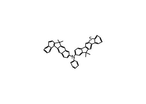 CC1(C)c2cc(N(c3ccccc3)c3ccc4cc5c(cc4c3)C(C)(C)c3ccc4ccccc4c3-5)ccc2-c2cc3sc4ccccc4c3cc21